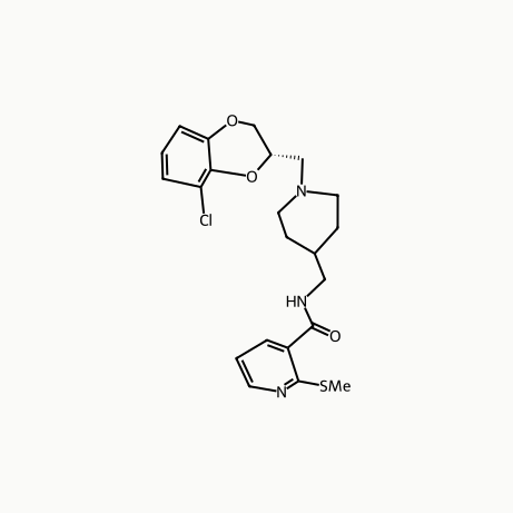 CSc1ncccc1C(=O)NCC1CCN(C[C@H]2COc3cccc(Cl)c3O2)CC1